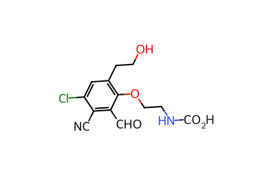 N#Cc1c(Cl)cc(CCO)c(OCCNC(=O)O)c1C=O